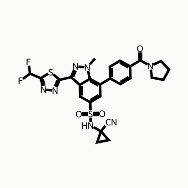 Cn1nc(-c2nnc(C(F)F)s2)c2cc(S(=O)(=O)NC3(C#N)CC3)cc(-c3ccc(C(=O)N4CCCC4)cc3)c21